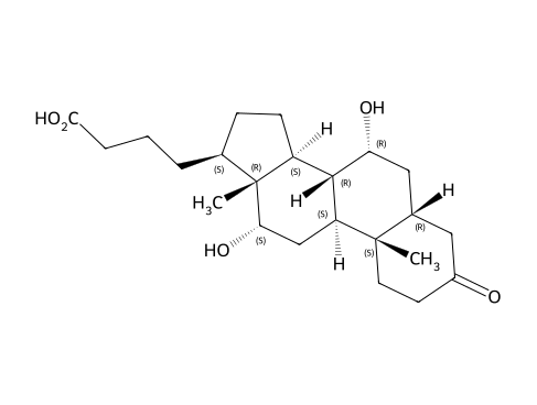 C[C@]12CCC(=O)C[C@H]1C[C@@H](O)[C@@H]1[C@@H]2C[C@H](O)[C@]2(C)[C@@H](CCCC(=O)O)CC[C@@H]12